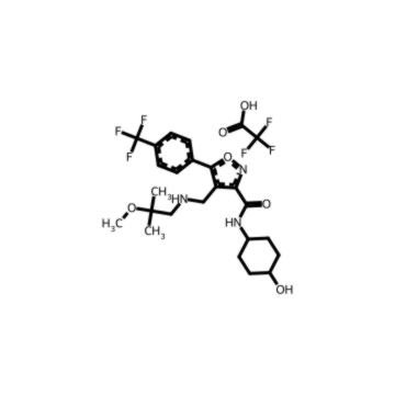 COC(C)(C)CNCc1c(C(=O)NC2CCC(O)CC2)noc1-c1ccc(C(F)(F)F)cc1.O=C(O)C(F)(F)F